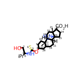 CC(C)C(CO)NC(=S)OC1CC[C@@]2(C)C(CC[C@@H]3[C@@H]2CC[C@]2(C)C(C(=O)O)CCC32N)C1